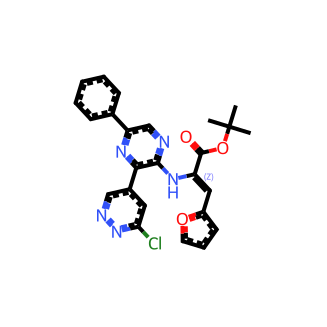 CC(C)(C)OC(=O)/C(=C/c1ccco1)Nc1ncc(-c2ccccc2)nc1-c1cnnc(Cl)c1